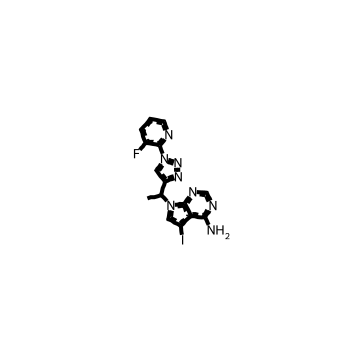 CC(c1cn(-c2ncccc2F)nn1)n1cc(I)c2c(N)ncnc21